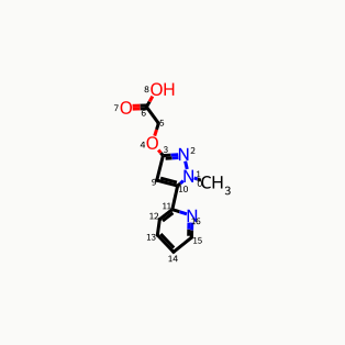 Cn1nc(OCC(=O)O)cc1-c1ccccn1